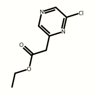 CCOC(=O)Cc1cncc(Cl)n1